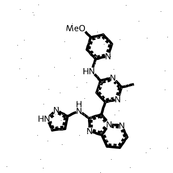 COc1ccnc(Nc2cc(-c3c(Nc4cc[nH]n4)nc4cccnn34)nc(C)n2)c1